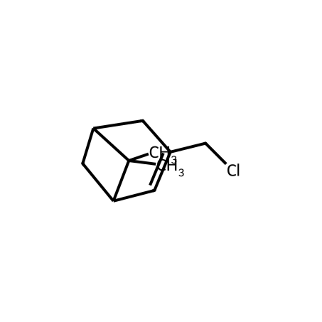 CC1(C)C2C=C(CCl)CC1C2